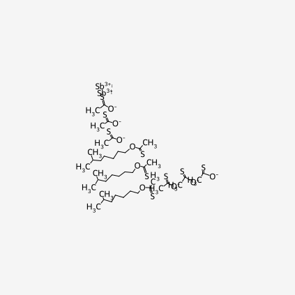 CC(=S)OCCCCCC(C)C.CC(=S)OCCCCCC(C)C.CC(=S)OCCCCCC(C)C.CC([O-])=S.CC([O-])=S.CC([O-])=S.CC([O-])=S.CC([O-])=S.CC([O-])=S.[Sb+3].[Sb+3]